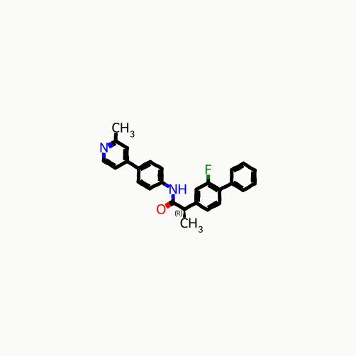 Cc1cc(-c2ccc(NC(=O)[C@H](C)c3ccc(-c4ccccc4)c(F)c3)cc2)ccn1